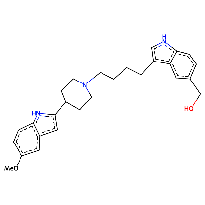 COc1ccc2[nH]c(C3CCN(CCCCc4c[nH]c5ccc(CO)cc45)CC3)cc2c1